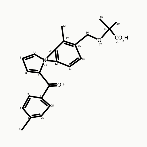 Cc1ccc(C(=O)C2=CC=C[N+]23c2ccc(COC(C)(C)C(=O)O)c(C)c23)cc1